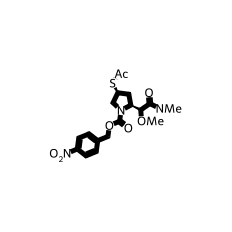 CNC(=O)C(OC)[C@@H]1C[C@H](SC(C)=O)CN1C(=O)OCc1ccc([N+](=O)[O-])cc1